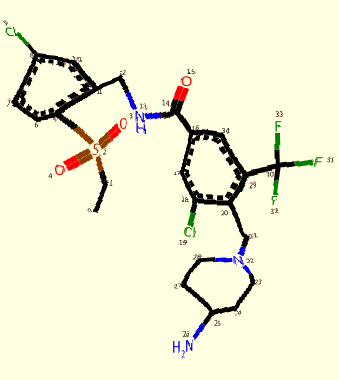 CCS(=O)(=O)c1ccc(Cl)cc1CNC(=O)c1cc(Cl)c(CN2CCC(N)CC2)c(C(F)(F)F)c1